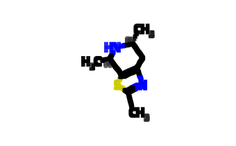 Cc1nc2c(s1)[C@@H](C)N[C@H](C)C2